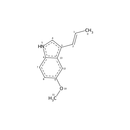 C/C=C/c1c[nH]c2ccc(OC)cc12